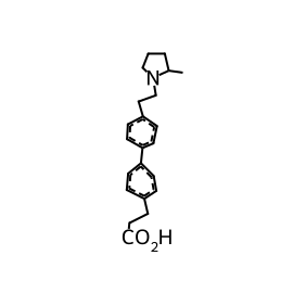 CC1CCCN1CCc1ccc(-c2ccc(CCC(=O)O)cc2)cc1